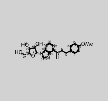 COc1ccc(CCNc2ncnc3c2ncn3[C@@H]2O[C@H](CO)[C@@H](O)[C@H]2O)cc1